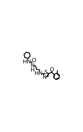 Cc1ccccc1C(=O)c1cnc(NCCCNC(=O)NC2CCCCC2)s1